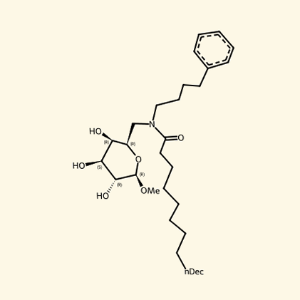 CCCCCCCCCCCCCCCCCC(=O)N(CCCCc1ccccc1)C[C@H]1O[C@@H](OC)[C@H](O)[C@@H](O)[C@H]1O